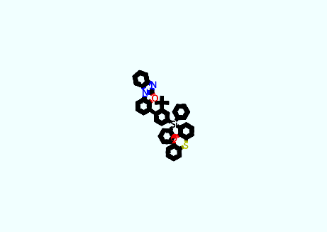 CC(C)(C)c1cc([Si](c2ccccc2)(c2ccccc2)c2cccc3c2Oc2ccccc2S3)ccc1-c1cccc2c1oc1nc3ccccc3n12